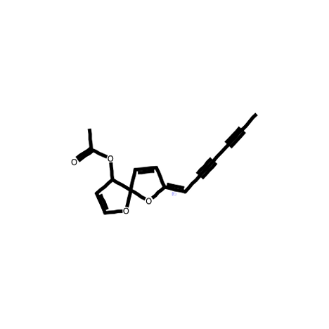 CC#CC#C/C=C1\C=CC2(OC=CC2OC(C)=O)O1